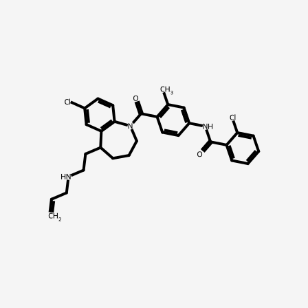 C=CCNCCC1CCCN(C(=O)c2ccc(NC(=O)c3ccccc3Cl)cc2C)c2ccc(Cl)cc21